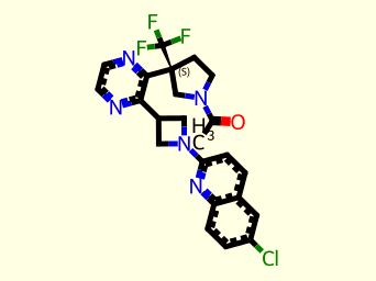 CC(=O)N1CC[C@](c2nccnc2C2CN(c3ccc4cc(Cl)ccc4n3)C2)(C(F)(F)F)C1